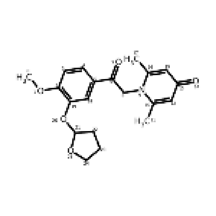 COc1ccc(C(=O)Cn2c(C)cc(=O)cc2C)cc1OC1CCCO1